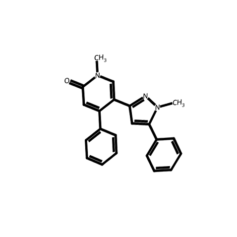 Cn1nc(-c2cn(C)c(=O)cc2-c2ccccc2)cc1-c1ccccc1